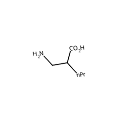 CCCC(CN)C(=O)O